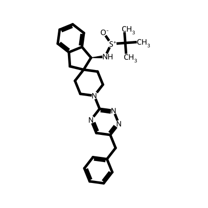 CC(C)(C)[S+]([O-])N[C@@H]1c2ccccc2CC12CCN(c1ncc(Cc3ccccc3)nn1)CC2